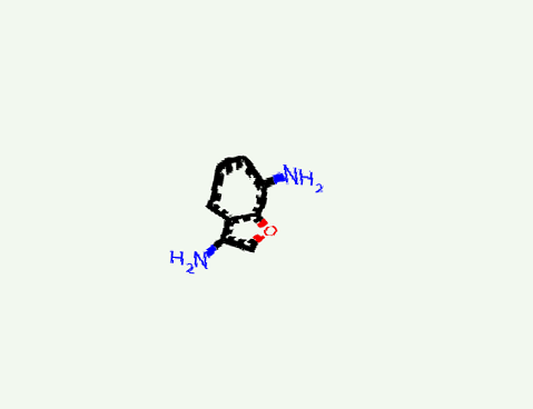 Nc1coc2c(N)cccc12